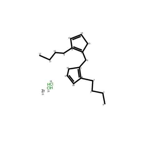 CCCCC1=C(CC2=C(CCCC)C=CC2)CC=C1.Cl.Cl.[Zr]